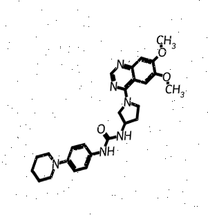 COc1cc2ncnc(N3CCC(NC(=O)Nc4ccc(N5CCCCC5)cc4)C3)c2cc1OC